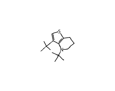 CC(C)(C)c1csc2c1N(C(C)(C)C)CCC2